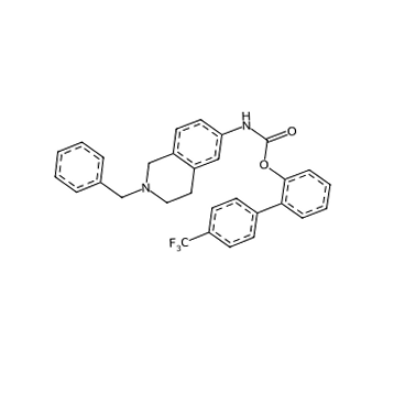 O=C(Nc1ccc2c(c1)CCN(Cc1ccccc1)C2)Oc1ccccc1-c1ccc(C(F)(F)F)cc1